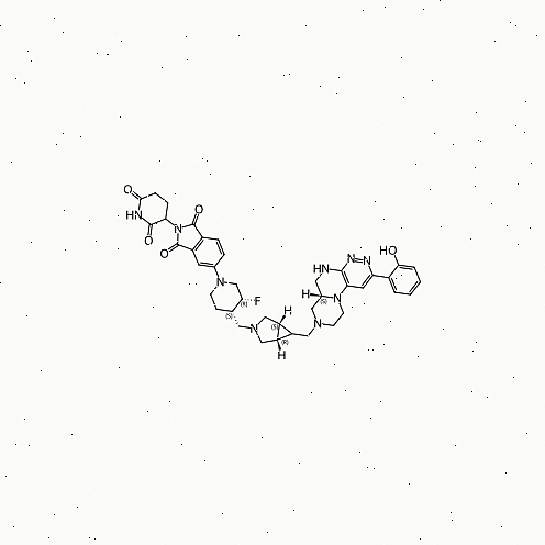 O=C1CCC(N2C(=O)c3ccc(N4CC[C@@H](CN5C[C@@H]6C(CN7CCN8c9cc(-c%10ccccc%10O)nnc9NC[C@H]8C7)[C@@H]6C5)[C@@H](F)C4)cc3C2=O)C(=O)N1